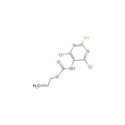 C=CCOC(=O)Nc1c(Cl)nc(S)nc1Cl